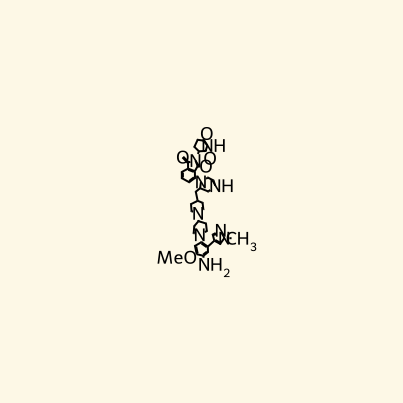 COc1cc(N2CCC(N3CCC(CC4CNCCN4c4cccc5c4C(=O)N(C4CCC(=O)NC4=O)C5=O)CC3)CC2)c(-c2cnn(C)c2)cc1N